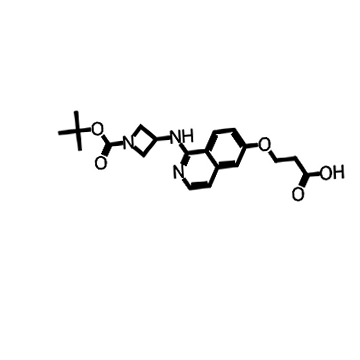 CC(C)(C)OC(=O)N1CC(Nc2nccc3cc(OCCC(=O)O)ccc23)C1